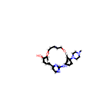 CN1CCN(c2ccc3cc2COC/C=C/CCOc2cc(ccc2O)-c2ccnc(n2)N3)CC1